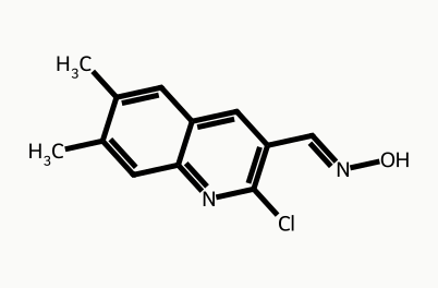 Cc1cc2cc(/C=N/O)c(Cl)nc2cc1C